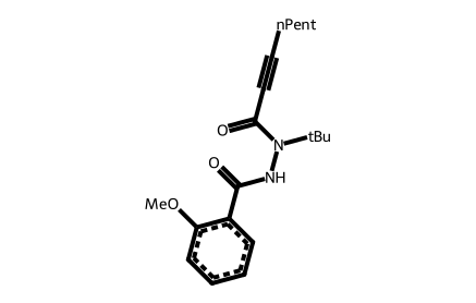 CCCCCC#CC(=O)N(NC(=O)c1ccccc1OC)C(C)(C)C